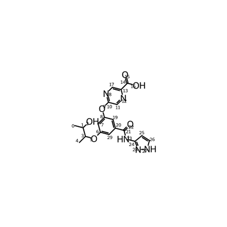 CC(O)C(C)Oc1cc(Oc2cnc(C(=O)O)cn2)cc(C(=O)Nc2cc[nH]n2)c1